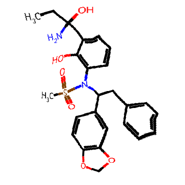 CCC(N)(O)c1cccc(N(C(Cc2ccccc2)c2ccc3c(c2)OCO3)S(C)(=O)=O)c1O